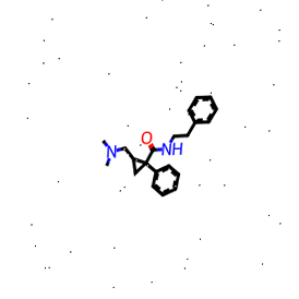 CN(C)CC1CC1(C(=O)NCCc1ccccc1)c1ccccc1